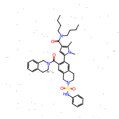 CCCCN(CCCC)C(=O)c1cc(-c2cc3c(cc2C(=O)N2Cc4ccccc4C[C@H]2C)CN(S(=O)(=O)Nc2ccccc2)CC3)n(C)c1C